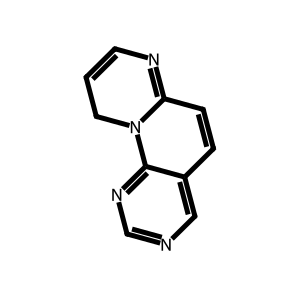 C1=CN=C2C=Cc3cncnc3N2C1